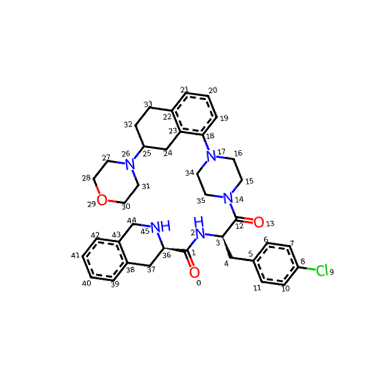 O=C(N[C@H](Cc1ccc(Cl)cc1)C(=O)N1CCN(c2cccc3c2CC(N2CCOCC2)CC3)CC1)[C@H]1Cc2ccccc2CN1